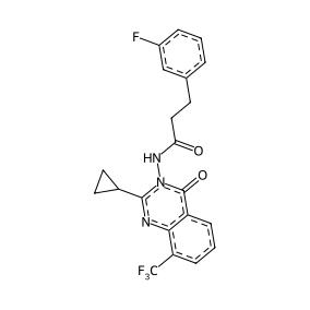 O=C(CCc1cccc(F)c1)Nn1c(C2CC2)nc2c(C(F)(F)F)cccc2c1=O